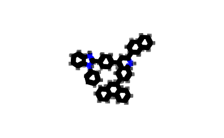 c1ccc(-n2c(-c3ccc(-c4cc(-c5ccc6ccccc6c5)nc5ccc(-c6cc7ccccc7c7ccccc67)cc45)cc3)nc3ccccc32)cc1